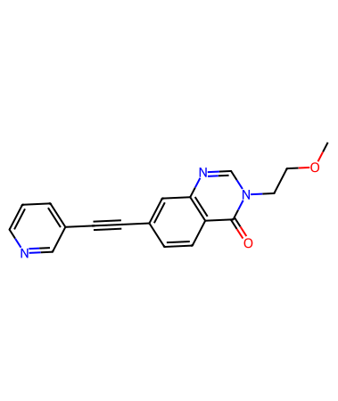 COCCn1cnc2cc(C#Cc3cccnc3)ccc2c1=O